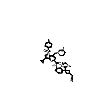 Cc1ccc(S(=O)(=O)n2cc(C3CC3)c3nc(C(=O)Nc4cccc(C5(c6nncn6C)CC(CC#N)C5)c4)cc(CN4CCC[C@H](C)C4)c32)cc1